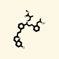 COC(=O)C(C)CSC(CCc1ccccc1CC(C)O)c1cccc(C=Cc2ccc3ccc(Cl)cc3n2)c1